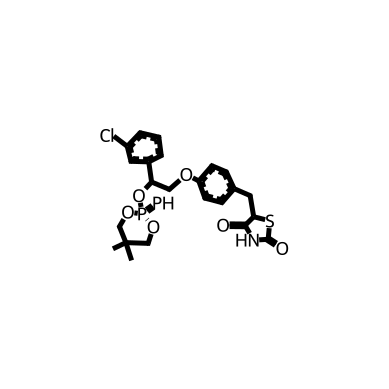 CC1(C)COP(=P)(OC(COc2ccc(CC3SC(=O)NC3=O)cc2)c2cccc(Cl)c2)OC1